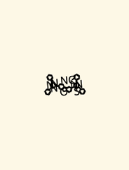 N#Cc1ccccc1-c1nc(-c2ccc3oc4cc(-c5nc(-c6ccccc6)nc(-c6ccccc6)n5)ccc4c3c2)c2sc3ccccc3c2n1